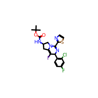 CC(C)(C)OC(=O)NC1CC2=C(I)C(c3ccc(F)cc3Cl)N=C(c3nccs3)N2C1